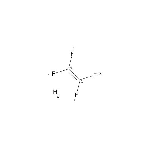 FC(F)=C(F)F.I